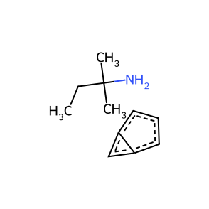 CCC(C)(C)N.c1cc2cc-2c1